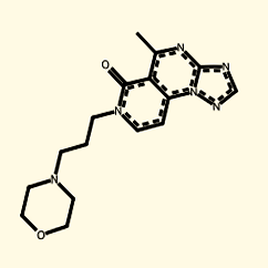 Cc1nc2ncnn2c2ccn(CCCN3CCOCC3)c(=O)c12